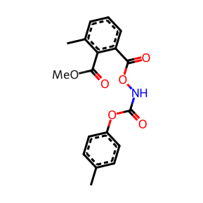 COC(=O)c1c(C)cccc1C(=O)ONC(=O)Oc1ccc(C)cc1